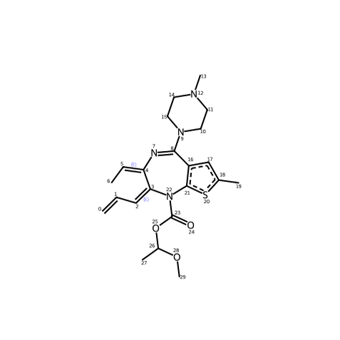 C=C/C=C1\C(=C/C)N=C(N2CCN(C)CC2)c2cc(C)sc2N1C(=O)OC(C)OC